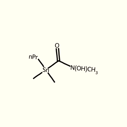 CC[CH2][Sn]([CH3])([CH3])[C](=O)N(C)O